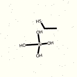 CCS.O[Si](O)(O)O